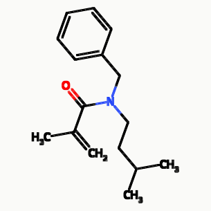 C=C(C)C(=O)N(CCC(C)C)Cc1ccccc1